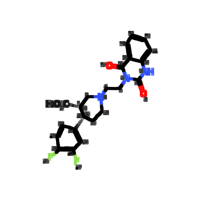 CCOC(=O)[C@@H]1CN(CCn2c(=O)[nH]c3ccccc3c2=O)CC[C@@H]1c1ccc(F)c(F)c1